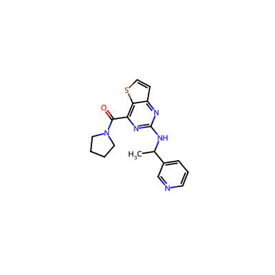 CC(Nc1nc(C(=O)N2CCCC2)c2sccc2n1)c1cccnc1